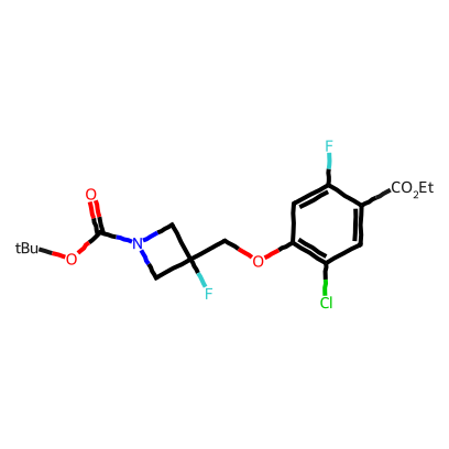 CCOC(=O)c1cc(Cl)c(OCC2(F)CN(C(=O)OC(C)(C)C)C2)cc1F